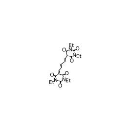 CCN1C(=O)C(=CC=CC=CC2C(=O)N(CC)C(=O)N(CC)C2=O)C(=O)N(CC)C1=O